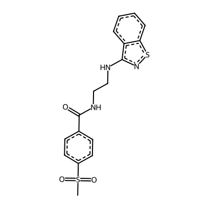 CS(=O)(=O)c1ccc(C(=O)NCCNc2nsc3ccccc23)cc1